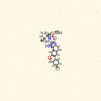 CC(C)(C)OC(=O)N1C(c2nc3ccc4cc5c(cc4c3[nH]2)OCc2cc(Cl)ccc2-5)C[C@@H]2CCC[C@@H]21